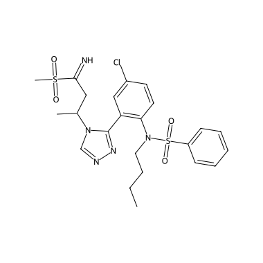 CCCCN(c1ccc(Cl)cc1-c1nncn1C(C)CC(=N)S(C)(=O)=O)S(=O)(=O)c1ccccc1